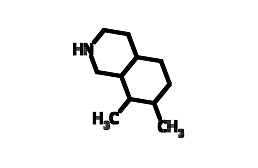 CC1CCC2CCNCC2C1C